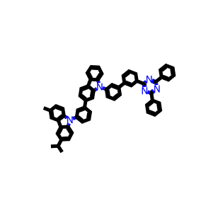 Cc1ccc2c(c1)c1cc(C(C)C)ccc1n2-c1cccc(-c2ccc3c4ccccc4n(-c4cccc(C5=CC(c6nc(-c7ccccc7)nc(-c7ccccc7)n6)CC=C5)c4)c3c2)c1